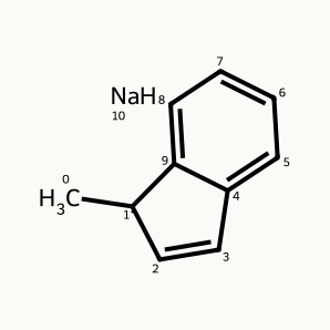 C[C]1C=Cc2ccccc21.[NaH]